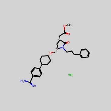 COC(=O)C[C@@H]1C[C@@H](CO[C@H]2CC[C@H](c3ccc(C(=N)N)cc3)CC2)N(CCCc2ccccc2)C1=O.Cl